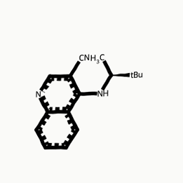 C[C@H](Nc1c(C#N)cnc2ccccc12)C(C)(C)C